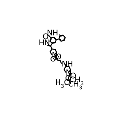 CC(C)(C)OC(=O)N1CCC(NCCCS(=O)(=O)N2CCC(c3c[nH]c4c(C(N)=O)cc(-c5ccccc5)cc34)CC2)CC1